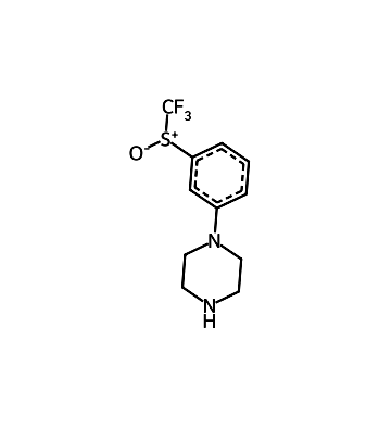 [O-][S+](c1cccc(N2CCNCC2)c1)C(F)(F)F